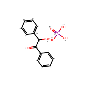 O=C(c1ccccc1)C(O)c1ccccc1.O=P(O)(O)O